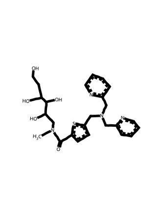 CN(CC(O)C(O)C(O)CCO)C(=O)c1ccc(CN(Cc2ccccn2)Cc2ccccn2)s1